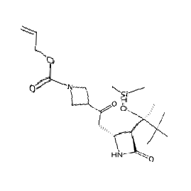 C=CCOC(=O)N1CC(C(=O)C[C@H]2NC(=O)[C@@H]2[C@@](C)(O[SiH](C)C)C(C)(C)C)C1